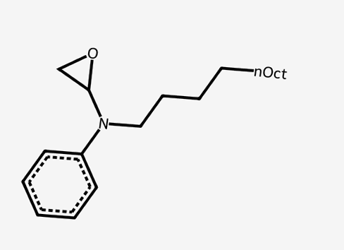 CCCCCCCCCCCCN(c1ccccc1)C1CO1